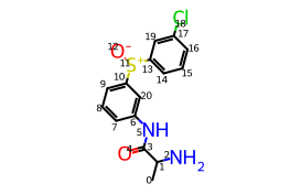 CC(N)C(=O)Nc1cccc([S+]([O-])c2cccc(Cl)c2)c1